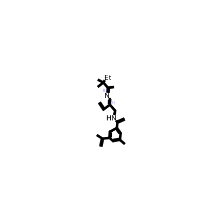 C=C/C(=C\N=C(/C)C(C)(C)CC)CNC(=C)c1cc(C)cc(C(=C)C)c1